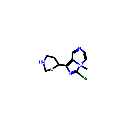 C[N+]12C=CN=CC1=C(C1CCNCC1)N=C2Br